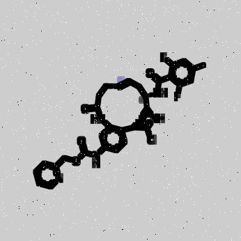 Cc1cc(F)c(C(=O)N[C@H]2C/C=C/CCC(=O)Nc3cc(NC(=O)OCc4ccccn4)ccc3-c3nc2[nH]c3Cl)c(F)c1